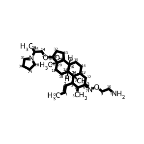 CC=CC1C(C)C(=NOCCN)CC2CC[C@@H]3[C@@H](CC[C@]4(C)C(OCC(C)N5CCCC5)CC[C@@]34O)[C@]21C